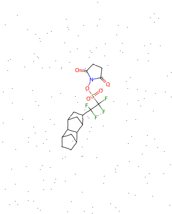 O=C1CCC(=O)N1OS(=O)(=O)C(F)(F)C(F)(F)C1CC2CC1C1C3CCC(C3)C21